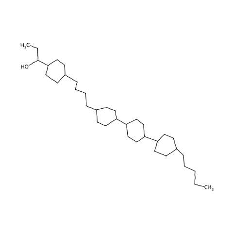 CCCCCC1CCC(C2CCC(C3CCC(CCCCC4CCC(C(O)CC)CC4)CC3)CC2)CC1